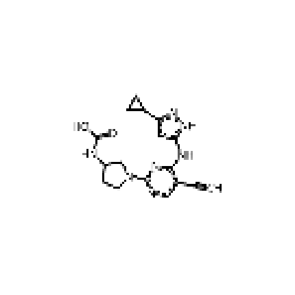 C#Cc1cnc(N2CCC(NC(=O)O)C2)nc1Nc1cc(C2CC2)n[nH]1